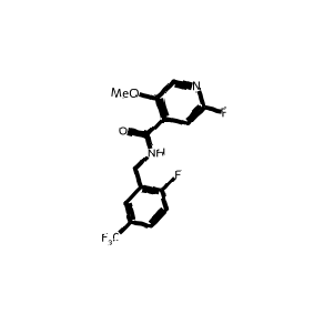 COc1cnc(F)cc1C(=O)NCc1cc(C(F)(F)F)ccc1F